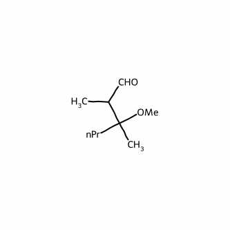 CCCC(C)(OC)C(C)C=O